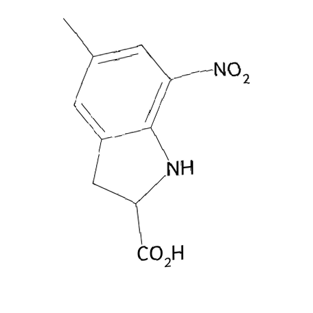 Cc1cc2c(c([N+](=O)[O-])c1)NC(C(=O)O)C2